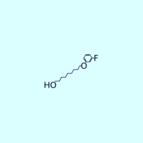 OCCCCCCCCCOc1cccc(F)c1